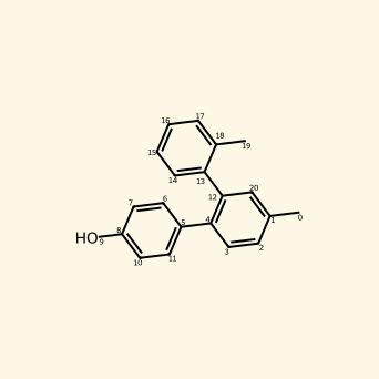 Cc1ccc(-c2ccc(O)cc2)c(-c2ccccc2C)c1